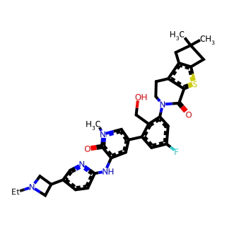 CCN1CC(c2ccc(Nc3cc(-c4cc(F)cc(N5CCc6c(sc7c6CC(C)(C)C7)C5=O)c4CO)cn(C)c3=O)nc2)C1